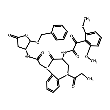 CCC(=O)N1C[C@H](NC(=O)C(=O)c2c(OC)cccc2OC)C(=O)N(CC(=O)N[C@H]2CC(=O)OC2OCc2ccccc2)c2ccccc21